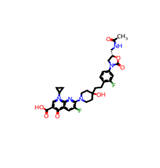 CC(=O)NC[C@H]1CN(c2ccc(CCC3(O)CCN(c4nc5c(cc4F)c(=O)c(C(=O)O)cn5C4CC4)CC3)c(F)c2)C(=O)O1